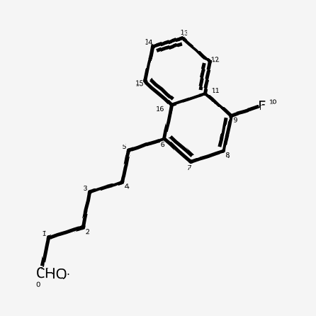 O=[C]CCCCCc1ccc(F)c2ccccc12